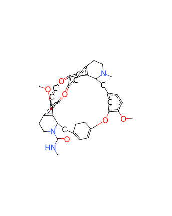 CNC(=O)N1CCc2cc(OC)c3oc4cc5c6cc4occc3c2C1CC1=CC=C(CC1)Oc1cc(ccc1OC)CC6N(C)CC5